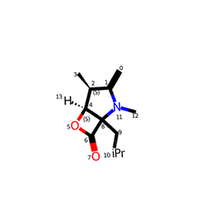 C=C1[C@H](C)[C@@H]2OC(=O)C2(CC(C)C)N1C